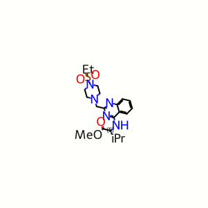 CCS(=O)(=O)N1CCN(Cc2nc(N[C@H](C(=O)OC)C(C)C)c3ccccc3n2)CC1